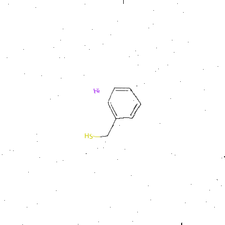 I.SCc1ccccc1